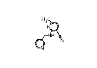 Cc1ccc(C#N)c(NCc2cccnc2)n1